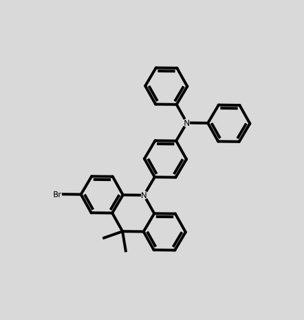 CC1(C)c2ccccc2N(c2ccc(N(c3ccccc3)c3ccccc3)cc2)c2ccc(Br)cc21